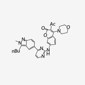 CCCCc1c2cc(-c3ccnc(Nc4ccc5c(N6CCOCC6)c(C(C)=O)c(=O)oc5c4)n3)ccc2nn1C